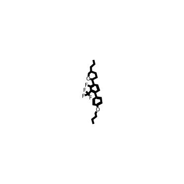 CCCCOc1ccc(-c2ccc(C3CCC(CCC)CO3)c(F)c2C(F)(F)F)cc1